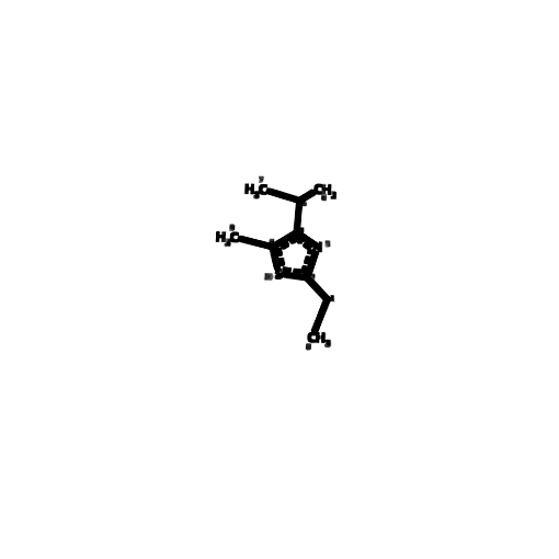 CCc1nc(C(C)C)c(C)s1